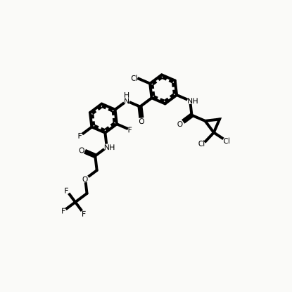 O=C(COCC(F)(F)F)Nc1c(F)ccc(NC(=O)c2cc(NC(=O)C3CC3(Cl)Cl)ccc2Cl)c1F